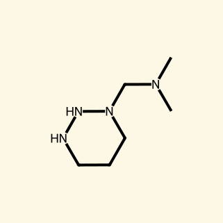 CN(C)CN1CCCNN1